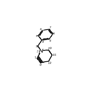 C1#CN([CH]c2ccccc2)CCC1